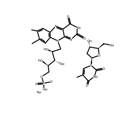 Cc1cc2nc3c(=O)[nH]c(=O)nc-3n(C[C@H](O)[C@H](O)[C@H](O)COP(=O)([O-])O)c2cc1C.Cc1cn([C@H]2C[C@H](O)[C@@H](CO)O2)c(=O)[nH]c1=O.[Na+]